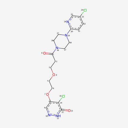 O=C(CCOCCOc1cn[nH]c(=O)c1Cl)N1CCN(c2ccc(Cl)cn2)CC1